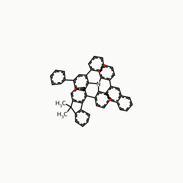 CC1(C)c2ccccc2-c2c(-c3ccccc3N(c3ccccc3-c3ccc4ccccc4c3)c3ccc(-c4ccccc4)cc3-c3ccccc3)cccc21